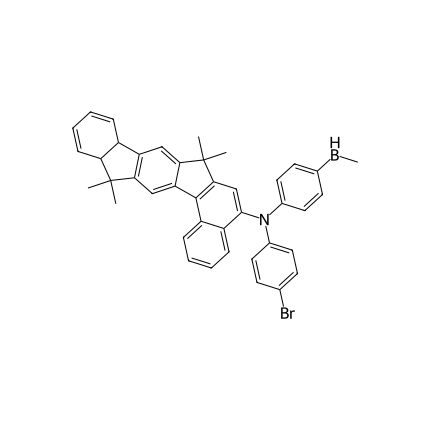 CBc1ccc(N(c2ccc(Br)cc2)c2cc3c(c4ccccc24)-c2cc4c(cc2C3(C)C)C2C=CC=CC2C4(C)C)cc1